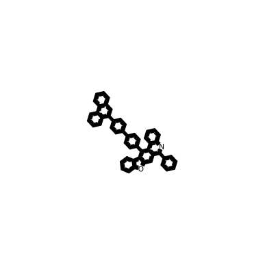 c1ccc(-c2nc3ccccc3c3c(-c4ccc(-c5ccc(-c6cc7ccccc7c7ccccc67)cc5)cc4)c4c(cc23)oc2ccccc24)cc1